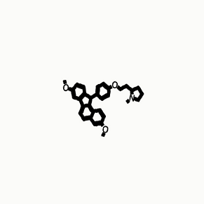 COc1ccc2c(c1)-c1ccc3cc(OC)ccc3c1C2c1ccc(OCCC2CCCN2C)cc1